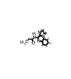 CCC(=O)Nc1nc2ccccc2n2nnnc12